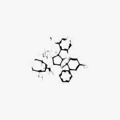 COc1cncc2c1[C@]1(O)[C@H](O)[C@H](C(=O)N3[C@@H]4CC[C@H]3COC4)[C@@H](c3ccccc3)[C@]1(C1(C)C=CC(Br)=CC1)O2